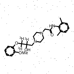 [2H]C(O)(CN1CCN(CC(=O)Nc2c(C)cccc2C)CC1)C([2H])([2H])Oc1ccccc1OC